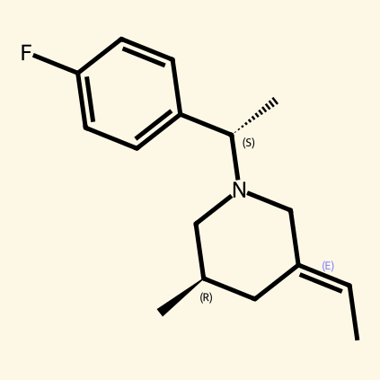 C/C=C1\C[C@@H](C)CN([C@@H](C)c2ccc(F)cc2)C1